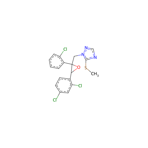 CSc1ncnn1CC1(c2ccccc2Cl)OC1c1ccc(Cl)cc1Cl